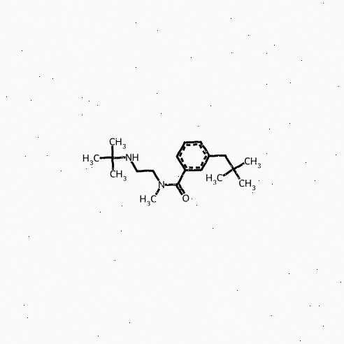 CN(CCNC(C)(C)C)C(=O)c1cccc(CC(C)(C)C)c1